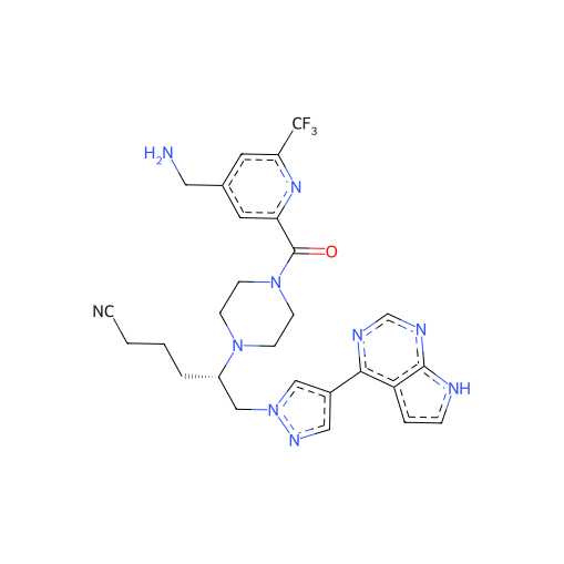 N#CCCC[C@@H](Cn1cc(-c2ncnc3[nH]ccc23)cn1)N1CCN(C(=O)c2cc(CN)cc(C(F)(F)F)n2)CC1